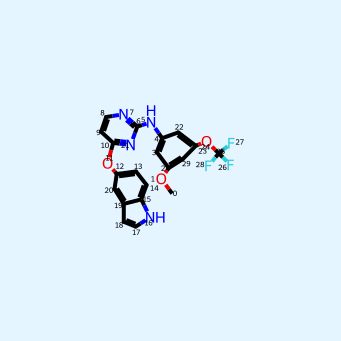 COc1cc(Nc2nccc(Oc3ccc4[nH]ccc4c3)n2)cc(OC(F)(F)F)c1